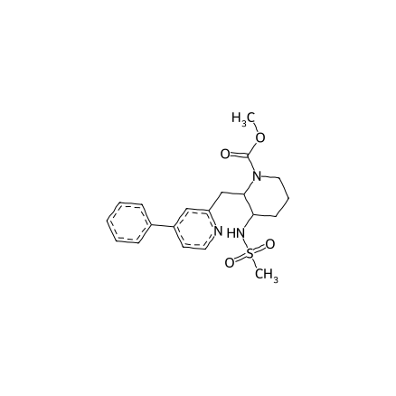 COC(=O)N1CCCC(NS(C)(=O)=O)C1Cc1cc(-c2ccccc2)ccn1